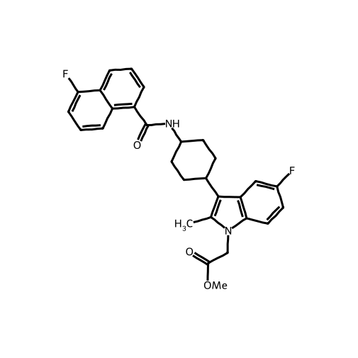 COC(=O)Cn1c(C)c(C2CCC(NC(=O)c3cccc4c(F)cccc34)CC2)c2cc(F)ccc21